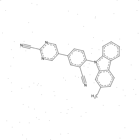 Cc1ccc2c3ccccc3n(-c3ccc(-c4cnc(C#N)nc4)cc3C#N)c2c1